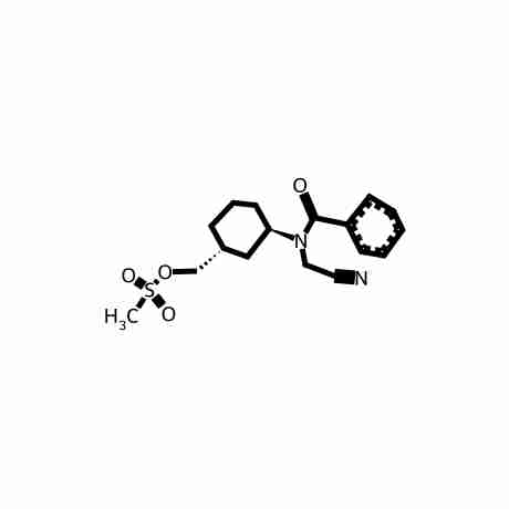 CS(=O)(=O)OC[C@@H]1CCC[C@@H](N(CC#N)C(=O)c2ccccc2)C1